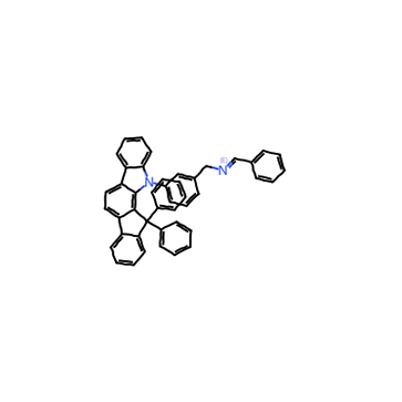 C(=N\Cc1cccc(-n2c3ccccc3c3ccc4c(c32)C(c2ccccc2)(c2ccccc2)c2ccccc2-4)c1)/c1ccccc1